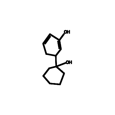 OC1=CC(C2(O)CCCCC2)CC=C1